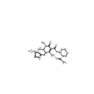 CCN1C(=O)C(C(=O)CN2CCCC[C@@H]2C(N)=O)=C(N)C(Cc2ncn(C)n2)C1O